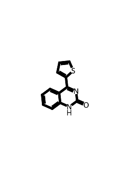 O=c1nc(-c2cccs2)c2ccccc2[nH]1